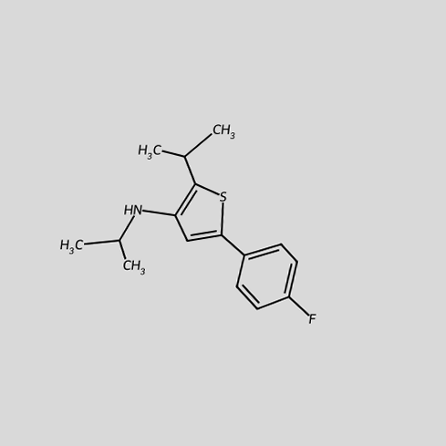 CC(C)Nc1cc(-c2ccc(F)cc2)sc1C(C)C